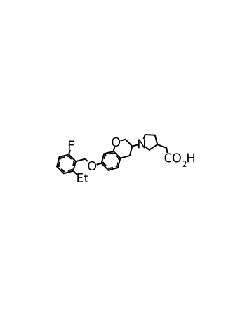 CCc1cccc(F)c1COc1ccc2c(c1)OCC(N1CCC(CC(=O)O)C1)C2